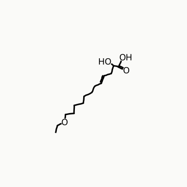 CCOCCCCCCCC=CCC(O)C(=O)O